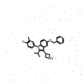 Cc1cc(-n2c(C(C)C)c(C3CNC3)c3cc(OCc4ccccc4)ccc32)ccc1F